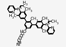 CC=[N+](c1ccccn1)c1c(C)cc(-c2cc(O)cc(-c3cc(C)c([N+](=CC)c4ccccn4)c(C)c3)c2C)cc1C.[Cl-].[Cl-].[Cl-].[Cl-].[Ni].[Ni]